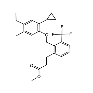 CCc1cc(C2CC2)c(OCc2c(CCC(=O)OC)cccc2C(F)(F)F)cc1C